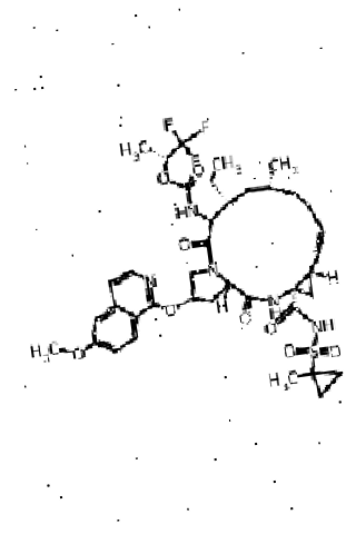 CC[C@@H]1C[C@H](C)CC/C=C\[C@@H]2C[C@@]2(C(=O)NS(=O)(=O)C2(C)CC2)NC(=O)[C@@H]2C[C@@H](Oc3nccc4cc(OC)ccc34)CN2C(=O)[C@H]1NC(=O)O[C@H](C)C(F)(F)F